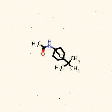 CC(=O)NC12CCC(C(C)(C)C)(CC1)CC2